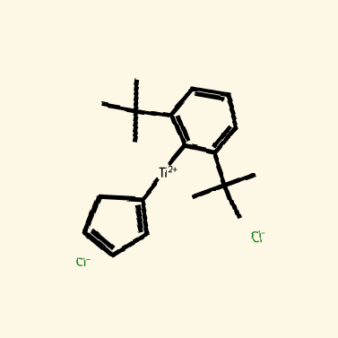 CC(C)(C)c1cccc(C(C)(C)C)[c]1[Ti+2][C]1=CC=CC1.[Cl-].[Cl-]